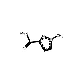 CNC(=O)c1ccn(C)n1